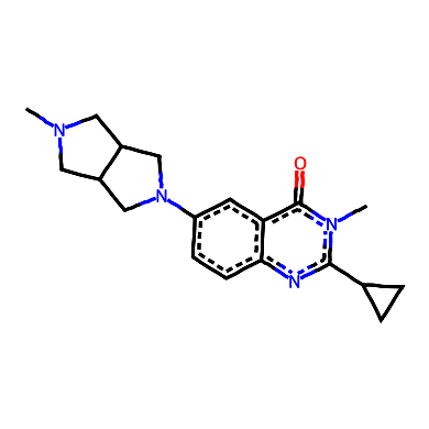 CN1CC2CN(c3ccc4nc(C5CC5)n(C)c(=O)c4c3)CC2C1